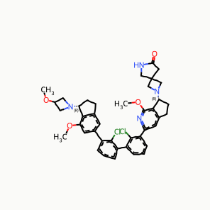 COc1cc(-c2cccc(-c3cccc(-c4cc5c(c(OC)n4)[C@H](N4CC6(CNC(=O)C6)C4)CC5)c3Cl)c2Cl)cc2c1[C@H](N1CC(OC)C1)CC2